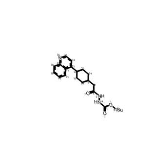 CC(C)(C)OC(=O)NNC(=O)CC1CCC(c2ccnc3ccccc23)CC1